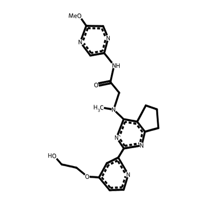 COc1cnc(NC(=O)CN(C)c2nc(-c3cc(OCCO)ccn3)nc3c2CCC3)cn1